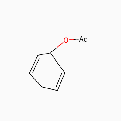 CC(=O)OC1C=CCC=C1